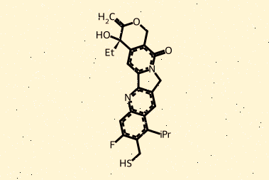 C=C1OCc2c(cc3n(c2=O)Cc2cc4c(C(C)C)c(CS)c(F)cc4nc2-3)[C@@]1(O)CC